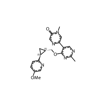 COc1ccc([C@H]2C[C@@H]2COc2nc(C)ncc2-c2cn(C)c(=O)cn2)nc1